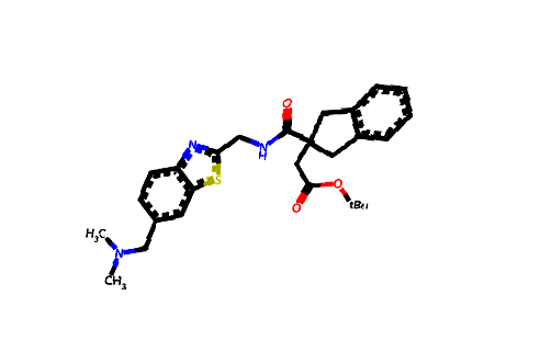 CN(C)Cc1ccc2nc(CNC(=O)C3(CC(=O)OC(C)(C)C)Cc4ccccc4C3)sc2c1